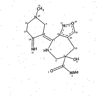 CNC(=O)C1(O)CN/C(=C2/CN(C)CCC2=N)c2nocc2C1